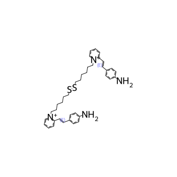 Nc1ccc(/C=C/c2cccc[n+]2CCCCCCSSCCCCCC[n+]2ccccc2/C=C/c2ccc(N)cc2)cc1